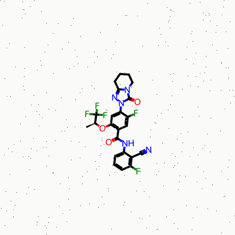 C[C@H](Oc1cc(-n2nc3n(c2=O)CCCC3)c(F)cc1C(=O)Nc1cccc(F)c1C#N)C(F)(F)F